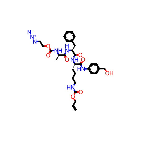 C=CCOC(=O)NCCCC[C@H](NC(=O)[C@H](Cc1ccccc1)NC(=O)[C@@H](C)NC(=O)OCCN=[N+]=[N-])C(=O)Nc1ccc(CO)cc1